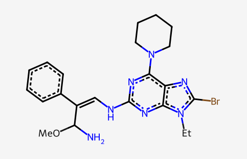 CCn1c(Br)nc2c(N3CCCCC3)nc(N/C=C(/c3ccccc3)C(N)OC)nc21